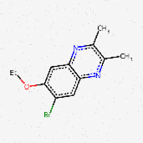 CCOc1cc2nc(C)c(C)nc2cc1Br